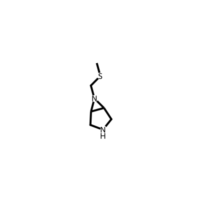 CSCN1C2CNCC21